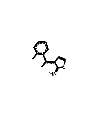 C/C(=C1/C=CSC1=N)c1ccccc1C